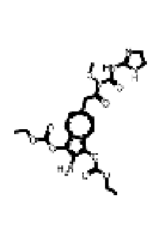 CCOC(=O)Oc1c2ccc(CC(=O)N(OC)C(=O)NC3=NCCN3)ccc-2c(OC(=O)OCC)c1N